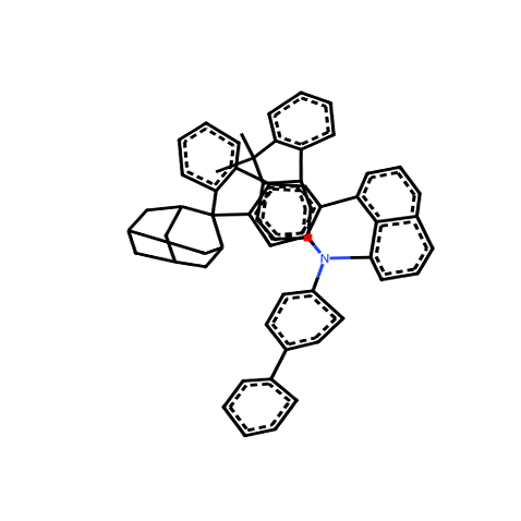 CC1(C)c2ccccc2-c2cc(N(c3ccc(-c4ccccc4)cc3)c3cccc4cccc(-c5ccc6c(c5)-c5ccccc5C65C6CC7CC(C6)CC5C7)c34)ccc21